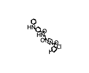 O=C(NCC(=O)N1CCN(C(=O)c2cc(I)ccc2Cl)CC1)c1ccc(Nc2ccccc2)cc1